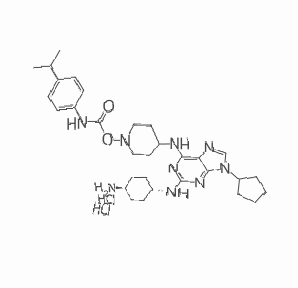 CC(C)c1ccc(NC(=O)ON2CCC(Nc3nc(N[C@H]4CC[C@H](N)CC4)nc4c3ncn4C3CCCC3)CC2)cc1.Cl.Cl